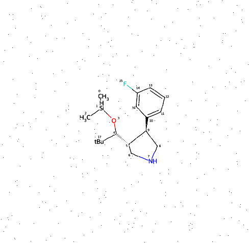 C[SiH](C)OC([C@H]1CNC[C@@H]1c1cccc(F)c1)C(C)(C)C